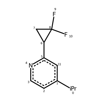 CC(C)c1ccnc(C2CC2(F)F)c1